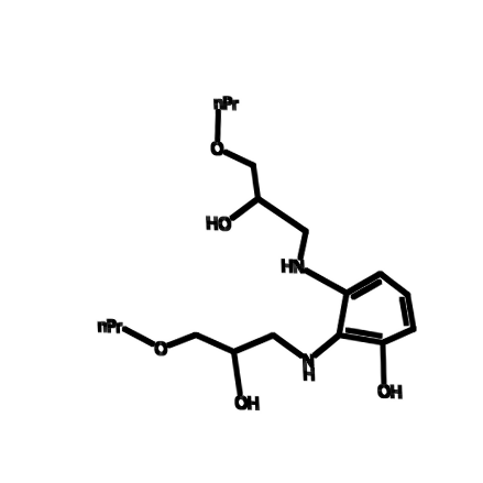 CCCOCC(O)CNc1cccc(O)c1NCC(O)COCCC